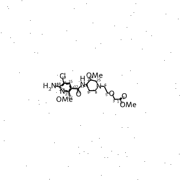 COC(=O)COCCN1CC[C@H](NC(=O)c2cc(Cl)c(N)nc2OC)[C@H](OC)C1